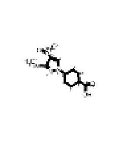 CSc1nn(C2CCC(C(=O)O)CC2)cc1[N+](=O)[O-]